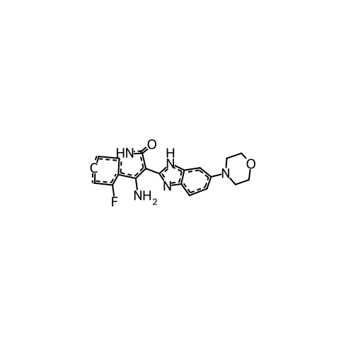 Nc1c(-c2nc3ccc(N4CCOCC4)cc3[nH]2)c(=O)[nH]c2cccc(F)c12